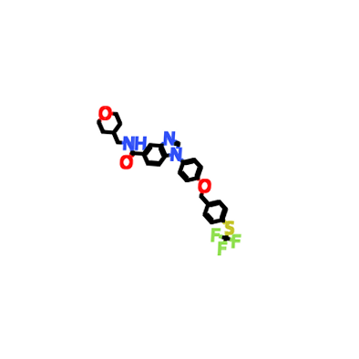 O=C(NCC1CCOCC1)c1ccc2c(c1)ncn2-c1ccc(OCc2ccc(SC(F)(F)F)cc2)cc1